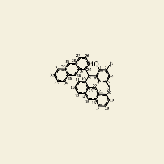 Oc1c(I)cc(I)cc1C(c1cccc2cc3ccccc3cc12)c1cccc2cc3ccccc3cc12